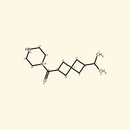 CC(C)C1CC2(CC(C(=O)N3CCNCC3)C2)C1